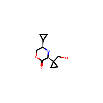 O=C1OC[C@@H](C2CC2)N[C@H]1C1(CO)CC1